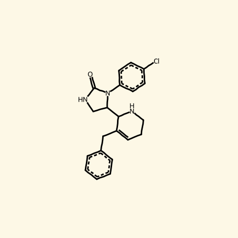 O=C1NCC(C2NCCC=C2Cc2ccccc2)N1c1ccc(Cl)cc1